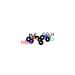 C[C@@H](COc1ccnc2c1[C@@H](C)CC[C@H]2O)CC1Cc2ccccc2C12CCC(Nc1cccc(Cl)c1)(C(=O)O)CC2